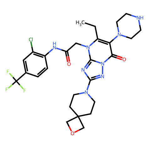 CCc1c(N2CCNCC2)c(=O)n2nc(N3CCC4(CC3)COC4)nc2n1CC(=O)Nc1ccc(C(F)(F)F)cc1Cl